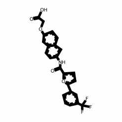 O=C(O)COc1ccc2cc(NC(=O)c3ccc(-c4cccc(C(F)(F)F)c4)o3)ccc2c1